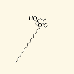 C=C(CC(=O)O)C(=O)OCCCCCCCCCCCCCCCC